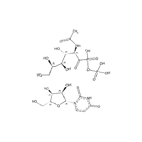 CC(=O)N[C@@H](C(=O)P(=O)(O)OP(=O)(O)O)[C@@H](O)[C@@H](O)[C@H](O)CO.O=c1ccn([C@@H]2O[C@H](CO)[C@@H](O)[C@H]2O)c(=O)[nH]1